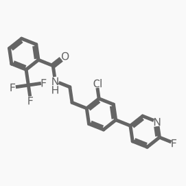 O=C(NCCc1ccc(-c2ccc(F)nc2)cc1Cl)c1ccccc1C(F)(F)F